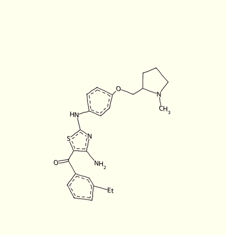 CCc1cccc(C(=O)c2sc(Nc3ccc(OCC4CCCN4C)cc3)nc2N)c1